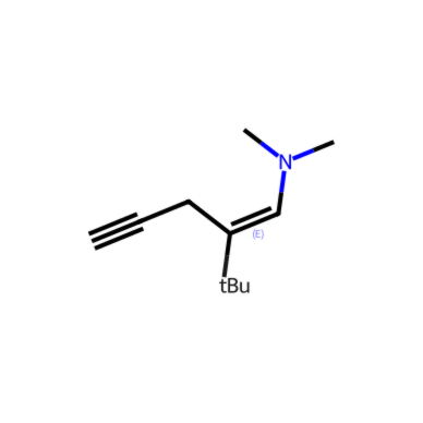 C#CC/C(=C\N(C)C)C(C)(C)C